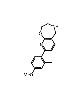 COc1ccc(-c2ccc3c(n2)OCCNC3)c(C)c1